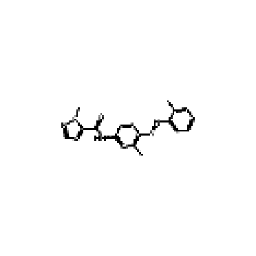 Cc1ccccc1N=Nc1ccc(NC(=O)c2ccnn2C)cc1C